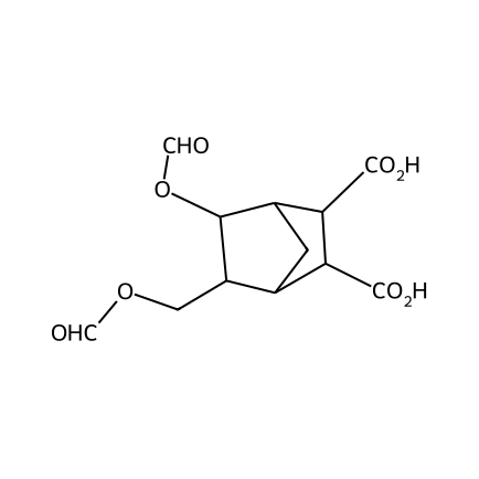 O=COCC1C2CC(C1OC=O)C(C(=O)O)C2C(=O)O